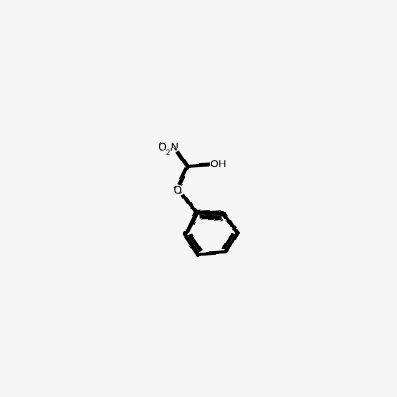 O=[N+]([O-])C(O)Oc1ccccc1